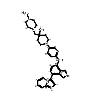 CN1CCN(CC2(O)CCN(c3ccc(Nc4ccc(-c5cnc6ccccn56)c5c4CNC5)nc3)CC2)CC1